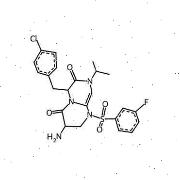 CC(C)N1C=C2N(C(=O)C(N)CN2S(=O)(=O)c2cccc(F)c2)C(Cc2ccc(Cl)cc2)C1=O